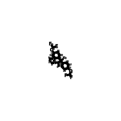 CC(n1cncn1)C(F)(c1ccc(OC(F)F)cc1)c1ccc(OC(F)F)cc1